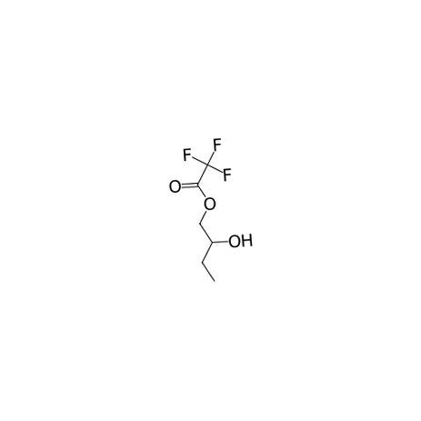 CCC(O)COC(=O)C(F)(F)F